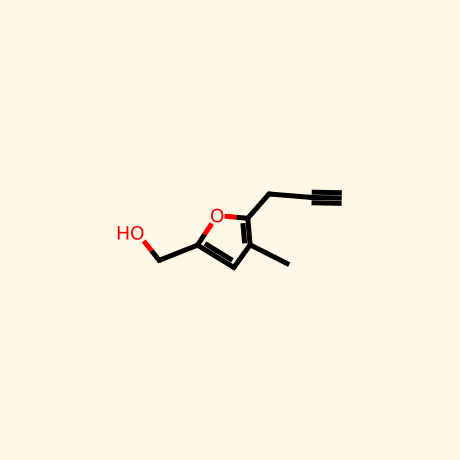 C#CCc1oc(CO)cc1C